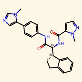 Cn1cncc1-c1ccc(NC(=O)[C@@H](NC(=O)c2ccnn2C)[C@H]2CCc3ccccc32)cc1